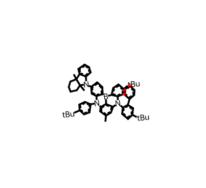 Cc1cc2c3c(c1)N(c1ccc(C(C)(C)C)cc1-c1ccccc1)c1cc(C(C)(C)C)ccc1B3c1ccc(N3c4ccccc4C4(C)CCCCC34C)cc1N2c1ccc(C(C)(C)C)cc1